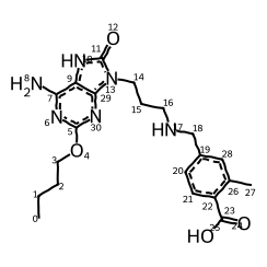 CCCCOc1nc(N)c2[nH]c(=O)n(CCCNCc3ccc(C(=O)O)c(C)c3)c2n1